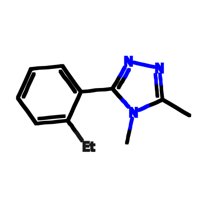 CCc1ccccc1-c1nnc(C)n1C